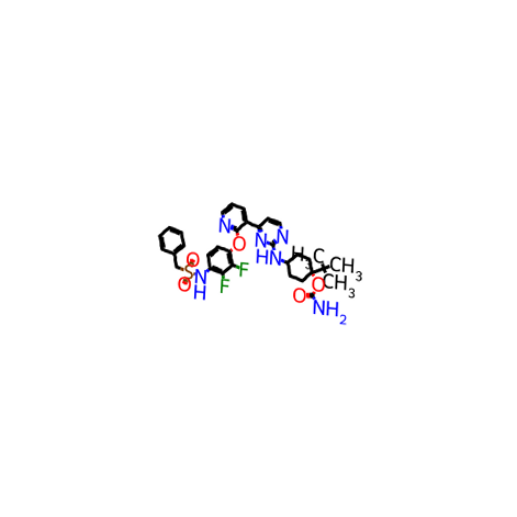 CC(C)(C)C1(OC(N)=O)CCC(Nc2nccc(-c3cccnc3Oc3ccc(NS(=O)(=O)Cc4ccccc4)c(F)c3F)n2)CC1